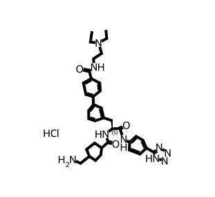 CCN(CC)CCNC(=O)c1ccc(-c2cccc(C[C@H](NC(=O)C3CCC(CN)CC3)C(=O)Nc3ccc(-c4nnn[nH]4)cc3)c2)cc1.Cl